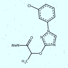 CNC(=O)C(C)Oc1ncn(-c2cccc(Cl)c2)n1